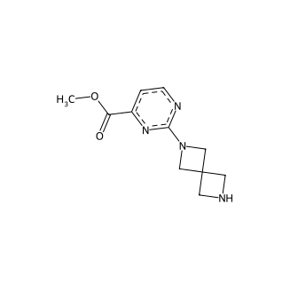 COC(=O)c1ccnc(N2CC3(CNC3)C2)n1